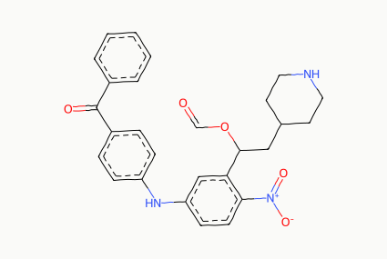 O=COC(CC1CCNCC1)c1cc(Nc2ccc(C(=O)c3ccccc3)cc2)ccc1[N+](=O)[O-]